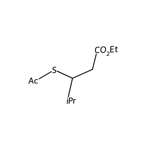 CCOC(=O)CC(SC(C)=O)C(C)C